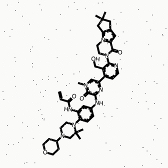 C=CC(=O)Nc1cc(Nc2nc(-c3ccnc(N4CCn5c(cc6c5CC(C)(C)C6)C4=O)c3CO)cn(C)c2=O)ccc1N1CCN(C2CCOCC2)CC1(C)C